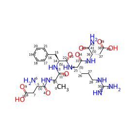 C[C@H](NC(=O)[C@@H](N)CC(=O)O)C(=O)N[C@@H](Cc1ccccc1)C(=O)N[C@@H](CCCNC(=N)N)C(=O)N[C@@H](CC(=O)O)C(N)=O